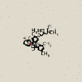 CCN(C)C[C@H](O)COc1ccc(C(C)N2C3CCC2CC(NC(=O)c2cc(C)cc(C)c2)C3)c(C)c1C